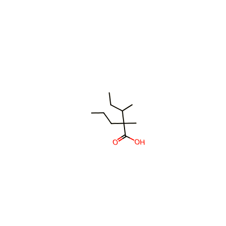 CCCC(C)(C(=O)O)C(C)CC